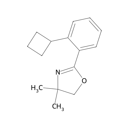 CC1(C)COC(c2ccccc2C2CCC2)=N1